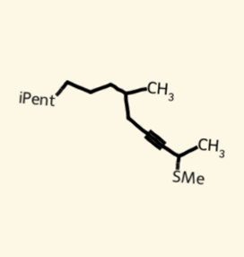 [CH2]CCC(C)CCCC(C)CC#CC(C)SC